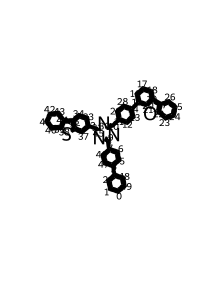 c1ccc(-c2ccc(-c3nc(-c4ccc(-c5cccc6c5oc5ccccc56)cc4)nc(-c4ccc5c(c4)sc4ccccc45)n3)cc2)cc1